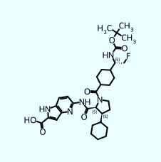 CC(C)(C)OC(=O)N[C@H](CF)C1CCC(C(=O)N2CC[C@@H](C3CCCCC3)[C@H]2C(=O)Nc2ccc3[nH]c(C(=O)O)cc3n2)CC1